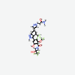 COc1cc(-c2c3c(C(F)F)cc(-c4cnn(CCC(=O)N(C)C)c4)cc3nn2C)cc(OC(F)F)c1C(=O)N1CC(O)(C(F)(F)F)C1